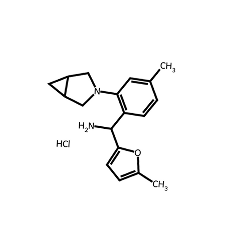 Cc1ccc(C(N)c2ccc(C)o2)c(N2CC3CC3C2)c1.Cl